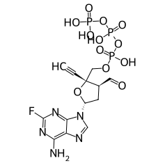 C#C[C@]1(COP(=O)(O)OP(=O)(O)OP(=O)(O)O)O[C@@H](n2cnc3c(N)nc(F)nc32)C[C@@H]1C=O